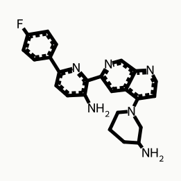 Nc1ccc(-c2ccc(F)cc2)nc1-c1cc2c(N3CCCC(N)C3)ccnc2cn1